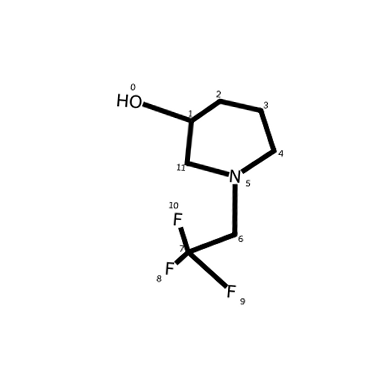 OC1CCCN(CC(F)(F)F)C1